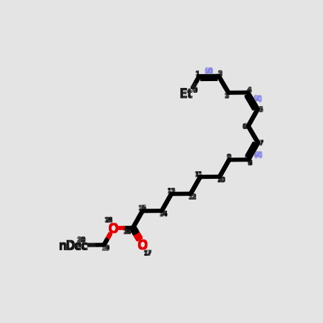 CC/C=C\C/C=C\C/C=C\CCCCCCCC(=O)OCCCCCCCCCCC